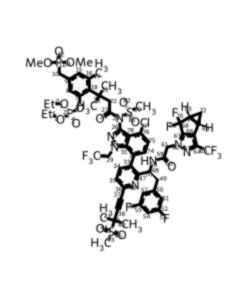 CCOP(=O)(OCC)Oc1cc(CP(=O)(OC)OC)cc(C)c1C(C)(C)CC(=O)N(c1nn(CC(F)(F)F)c2c(-c3ccc(C#CC(C)(C)S(C)(=O)=O)nc3[C@H](Cc3cc(F)cc(F)c3)NC(=O)Cn3nc(C(F)(F)F)c4c3C(F)(F)[C@@H]3C[C@H]43)ccc(Cl)c12)S(C)(=O)=O